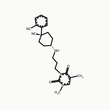 Cc1cn(C)c(=O)n(CCCN[C@H]2CC[C@@](C#N)(c3ccccc3C#N)CC2)c1=O